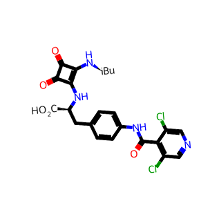 CC[C@H](C)Nc1c(N[C@@H](Cc2ccc(NC(=O)c3c(Cl)cncc3Cl)cc2)C(=O)O)c(=O)c1=O